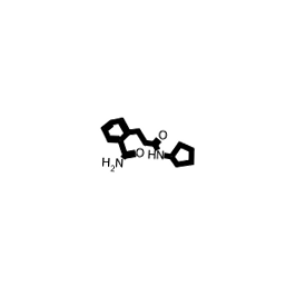 NC(=O)c1ccccc1C[CH]C(=O)NC1CCCC1